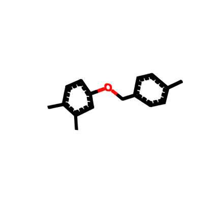 Cc1ccc(COc2ccc(C)c(C)c2)cc1